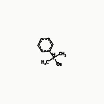 C[PH](C)([Os])c1ccccc1